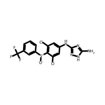 Nc1nc(Nc2cc(Cl)c([S+]([O-])c3cccc(C(F)(F)F)c3)c(Cl)c2)n[nH]1